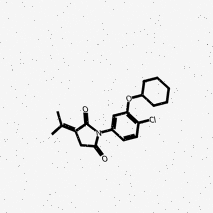 CC(C)=C1CC(=O)N(c2ccc(Cl)c(OC3CCCCC3)c2)C1=O